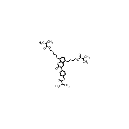 C=C(C)C(=O)OCCCCCc1ccc(CCCCOC(=O)C(=C)C)c2cc(-c3ccc(OC(=O)C(=C)C)cc3)c(=O)oc12